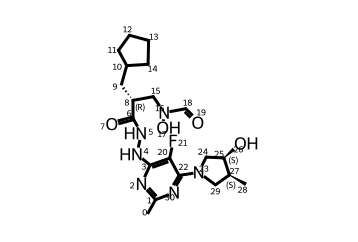 Cc1nc(NNC(=O)[C@H](CC2CCCC2)CN(O)C=O)c(F)c(N2C[C@@H](O)[C@@H](C)C2)n1